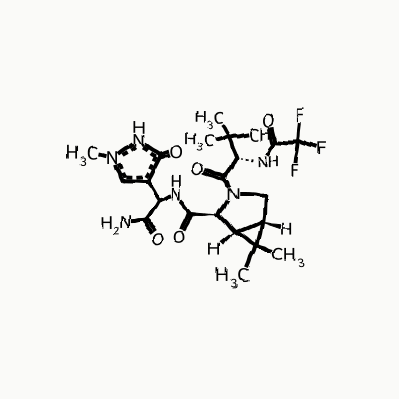 Cn1cc(C(NC(=O)[C@@H]2[C@@H]3[C@H](CN2C(=O)[C@@H](NC(=O)C(F)(F)F)C(C)(C)C)C3(C)C)C(N)=O)c(=O)[nH]1